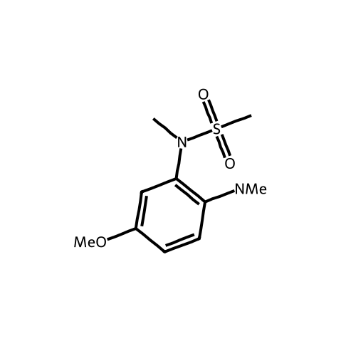 CNc1ccc(OC)cc1N(C)S(C)(=O)=O